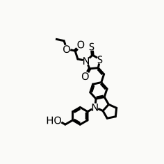 CCOC(=O)CN1C(=O)/C(=C\c2ccc3c(c2)C2CCCC2N3c2ccc(CO)cc2)SC1=S